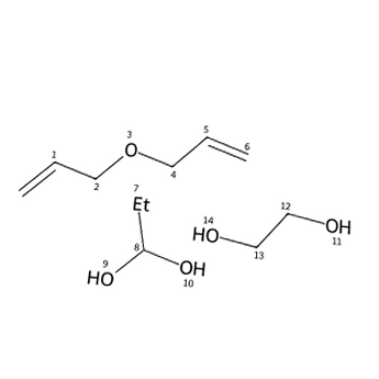 C=CCOCC=C.CCC(O)O.OCCO